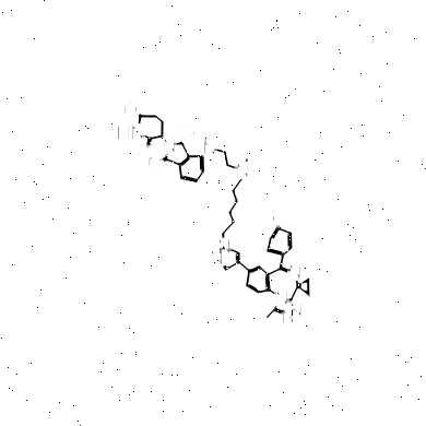 Cc1nnc2n1-c1ccc(-c3cnn(CCCCCCN(C)CCN(C)c4cccc5c4C(=O)N(C4CCC(=O)NC4=O)C5=O)c3)cc1C(c1ccc(Cl)cc1)=NC21CC1